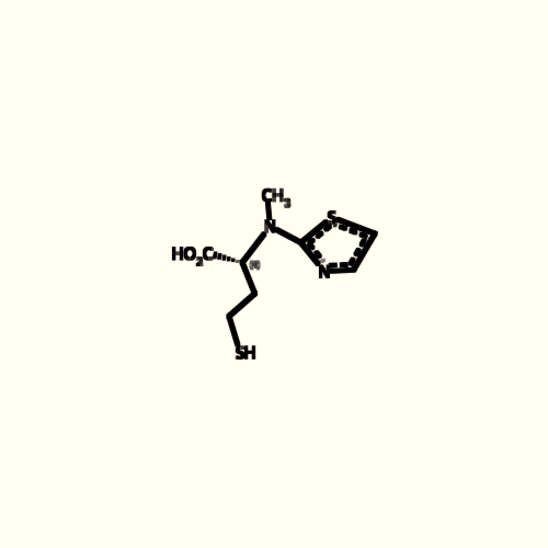 CN(c1nccs1)[C@H](CCS)C(=O)O